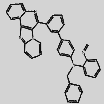 C=Nc1ccccc1N(Cc1ccccc1)c1ccc(-c2cccc(-c3nc4ccccc4c4nc5ccccn5c34)c2)cc1